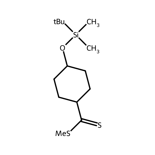 CSC(=S)C1CCC(O[Si](C)(C)C(C)(C)C)CC1